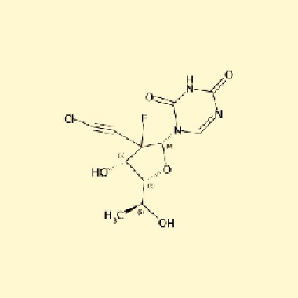 C[C@H](O)[C@H]1O[C@@H](n2cnc(=O)[nH]c2=O)C(F)(C#CCl)[C@H]1O